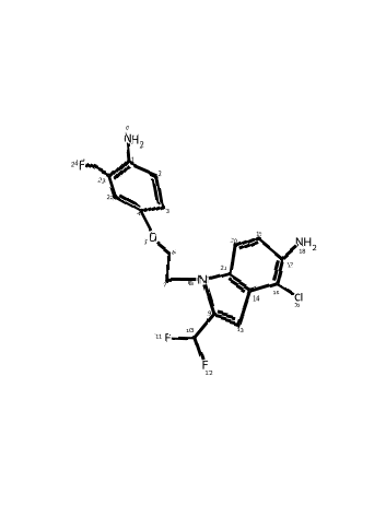 Nc1ccc(OCCn2c(C(F)F)cc3c(Cl)c(N)ccc32)cc1F